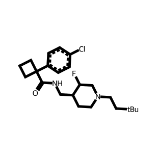 CC(C)(C)CCN1CCC(CNC(=O)C2(c3ccc(Cl)cc3)CCC2)C(F)C1